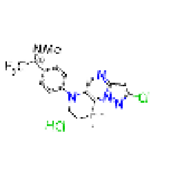 CN[C@@H](c1ccc(N2CCC(C)(C)c3c2cnc2cc(Cl)nn32)cc1)C(F)(F)F.Cl